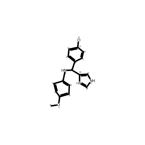 COc1ccc(NC(c2ccc(Cl)cc2)c2c[nH]cn2)cc1